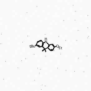 CCOc1ccc2c(c1)Nc1ccc(C(C)(C)C)cc1C2(C)C